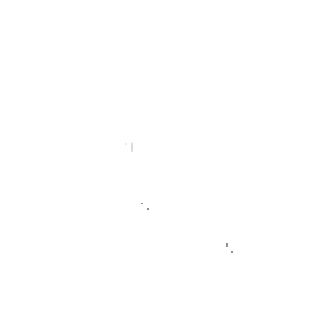 Cc1nc(N2CCC(F)(F)C2)ccc1[N+](=O)[O-]